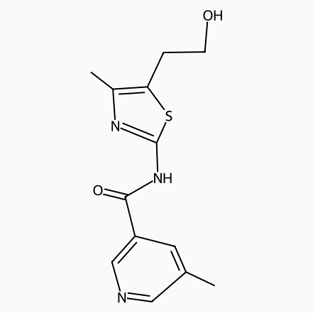 Cc1cncc(C(=O)Nc2nc(C)c(CCO)s2)c1